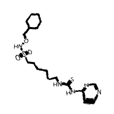 O=S(=O)(CCCCCCNC(=S)Nc1ccncn1)NOCC1CCCCC1